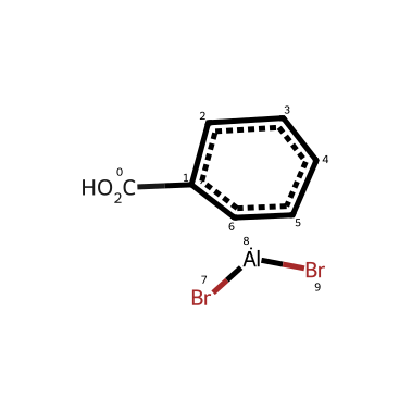 O=C(O)c1ccccc1.[Br][Al][Br]